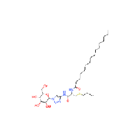 [CH2][CH]CSC[C@@H](NC(=O)CCCCCCCCCCCCCCC)C(=O)Nc1cn([C@@H]2OC(CO)C(O)C(O)C2O)nn1